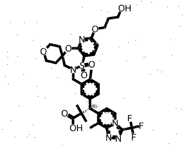 Cc1ccc([C@H](c2ccn3c(C(F)(F)F)nnc3c2C)C(C)(C)C(=O)O)cc1CN1CC2(CCOCC2)Oc2nc(OCCCO)ccc2S1(=O)=O